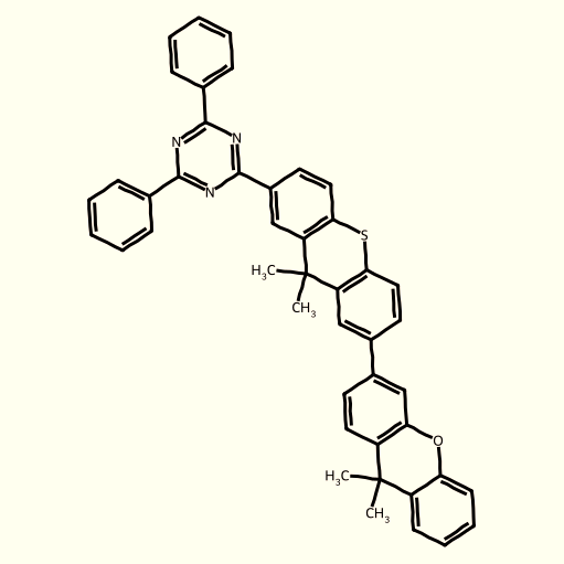 CC1(C)c2ccccc2Oc2cc(-c3ccc4c(c3)C(C)(C)c3cc(-c5nc(-c6ccccc6)nc(-c6ccccc6)n5)ccc3S4)ccc21